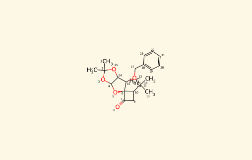 CC1(C)OC2O[C@@]3(C(=O)CC3[Si](C)(C)C)C(OCc3ccccc3)C2O1